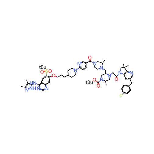 Cc1n[nH]c(Nc2ncnc3cc(OCCCC4CCN(c5ccc(C(=O)N6CCN(CC7CN(C(=O)OC(C)(C)C)C(C)CN7CC(=O)N7CC(C)(C)c8ncc(Cc9ccc(F)cc9)cc87)[C@H](C)C6)cn5)CC4)c(S(=O)(=O)C(C)(C)C)cc23)c1C